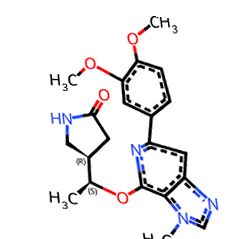 COc1ccc(-c2cc3ncn(C)c3c(O[C@@H](C)[C@H]3CNC(=O)C3)n2)cc1OC